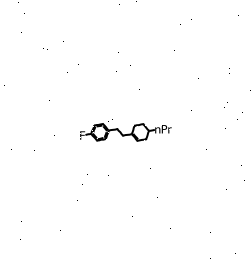 CCCC1CC=C(CCc2ccc(F)cc2)CC1